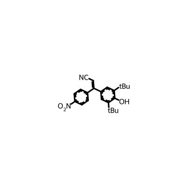 CC(C)(C)c1cc(C(=CC#N)c2ccc([N+](=O)[O-])cc2)cc(C(C)(C)C)c1O